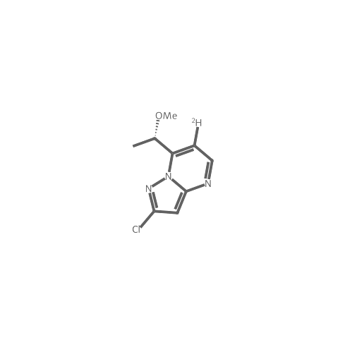 [2H]c1cnc2cc(Cl)nn2c1[C@H](C)OC